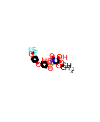 CC1(C)OC(CO)[C@@H]([C@H](CS(=O)(=O)c2ccc(Oc3ccc(OC(F)(F)F)cc3)cc2)N(O)C=O)O1